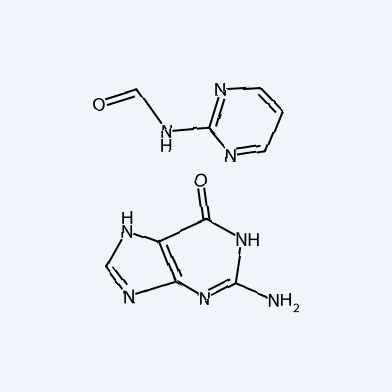 Nc1nc2nc[nH]c2c(=O)[nH]1.O=CNc1ncccn1